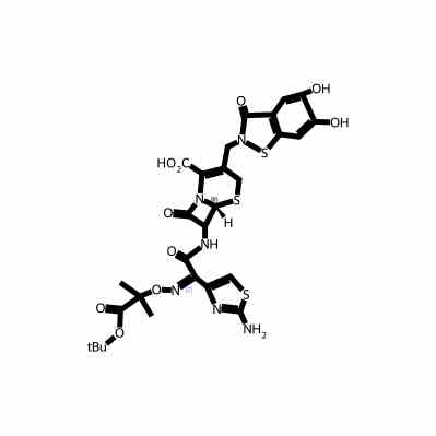 CC(C)(C)OC(=O)C(C)(C)O/N=C(\C(=O)NC1C(=O)N2C(C(=O)O)=C(Cn3sc4cc(O)c(O)cc4c3=O)CS[C@H]12)c1csc(N)n1